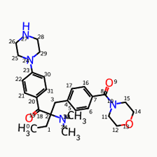 CCC(Cc1ccc(C(=O)N2CCOCC2)cc1)(C(=O)c1ccc(N2CCNCC2)cc1)N(C)C